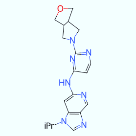 CC(C)n1cnc2cnc(Nc3ccnc(N4CC5COCC5C4)n3)cc21